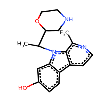 CC(C1CNCCO1)n1c2cc(O)ccc2c2ccnc(C(F)(F)F)c21